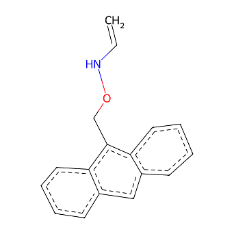 C=CNOCc1c2ccccc2cc2ccccc12